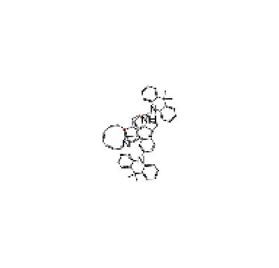 CC1(C)c2ccccc2N(c2ccc3/c(c2)=C(c2ccccccccn2)\C=C\CC(N2c4ccccc4C(C)(C)c4ccccc42)/C=C/C=3C2=c3ccccc3=CCN2)c2ccccc21